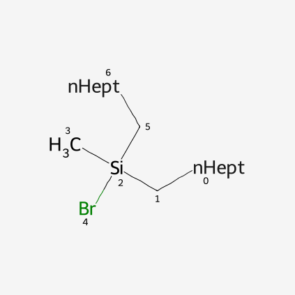 CCCCCCCC[Si](C)(Br)CCCCCCCC